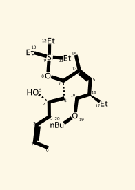 C/C=C\C[C@H](O)C[C@H](O[Si](CC)(CC)CC)/C(C)=C\[C@@H](CC)COCCCC